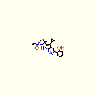 C=CC(=O)N1CCC(C)(c2[nH]c3nnc(-c4ccccc4O)cc3c2C2CC2)C1